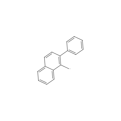 [CH2]c1c(-c2ccccc2)ccc2ccccc12